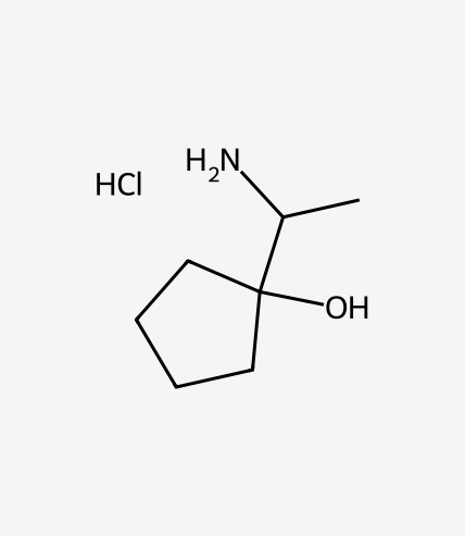 CC(N)C1(O)CCCC1.Cl